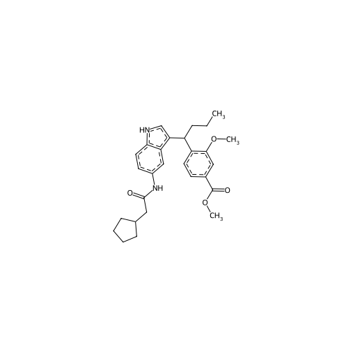 CCCC(c1ccc(C(=O)OC)cc1OC)c1c[nH]c2ccc(NC(=O)CC3CCCC3)cc12